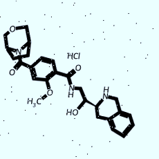 COc1cc(C(=O)N2C3CCC2COC3)ccc1C(=O)NCC(O)[C@@H]1Cc2ccccc2CN1.Cl